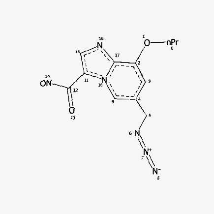 CCCOc1cc(CN=[N+]=[N-])cn2c(C(=O)N=O)cnc12